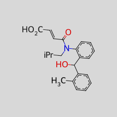 Cc1ccccc1C(O)c1ccccc1N(CC(C)C)C(=O)C=CC(=O)O